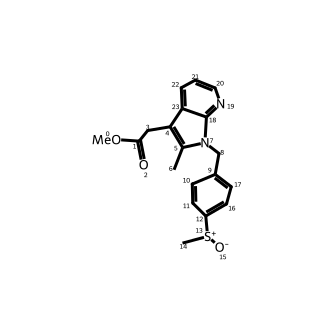 COC(=O)Cc1c(C)n(Cc2ccc([S+](C)[O-])cc2)c2ncccc12